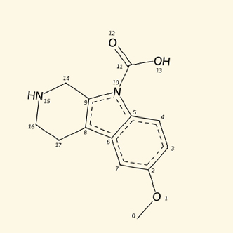 COc1ccc2c(c1)c1c(n2C(=O)O)CNCC1